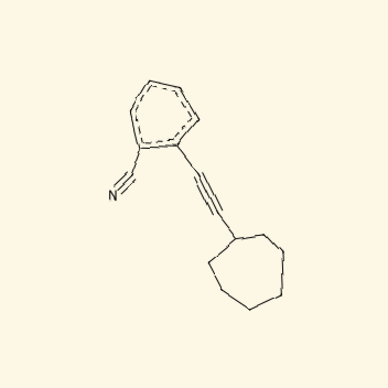 N#Cc1ccccc1C#CC1CCCCCC1